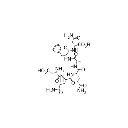 C[C@H](NC(=O)[C@H](CCC(N)=O)NC(=O)[C@H](CCC(N)=O)NC(=O)[C@@H](N)CC(=O)O)C(=O)N[C@@H](Cc1ccccc1)C(=O)N[C@@H](CC(N)=O)C(=O)O